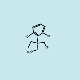 CC[Si](CC)(CC)c1c(O)cccc1Br